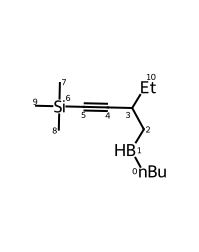 CCCCBCC(C#C[Si](C)(C)C)CC